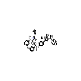 O=C(N[C@@H]1CCCN(Cc2ccnc(C(=O)Nc3ccc(-c4cc5c(N6CCOCC6)ncnc5[nH]4)cc3)c2)C1)/C(F)=C/CN1CCC1